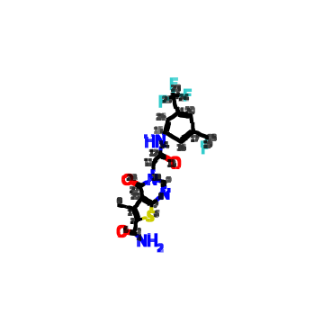 Cc1c(C(N)=O)sc2ncn(CC(=O)Nc3cc(CF)cc(C(F)(F)F)c3)c(=O)c12